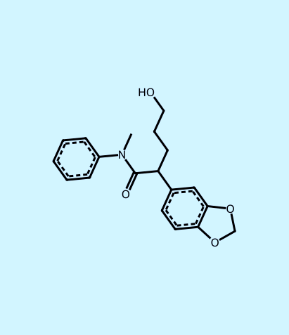 CN(C(=O)C(CCCO)c1ccc2c(c1)OCO2)c1ccccc1